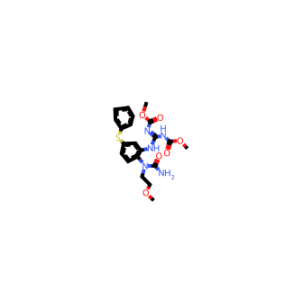 COCCN(C(N)=O)c1ccc(Sc2ccccc2)cc1NC(=NC(=O)OC)NC(=O)OC